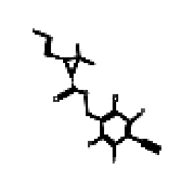 C#Cc1c(F)c(F)c(COC(=O)[C@@H]2[C@@H](C=CC)C2(C)C)c(Cl)c1F